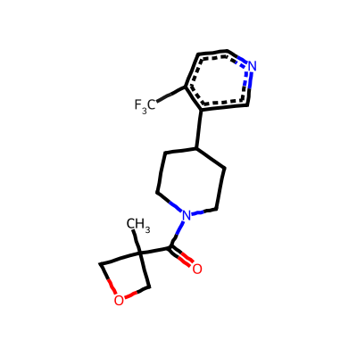 CC1(C(=O)N2CCC(c3cnccc3C(F)(F)F)CC2)COC1